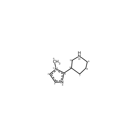 Cn1ccnc1C1CCCNC1